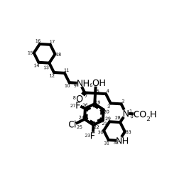 O=C(O)N(CCCC(O)(C(=O)NCCCC1CCCCC1)c1ccc(F)c(Cl)c1F)C1CCCNC1